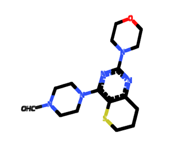 O=CN1CCN(c2nc(N3CCOCC3)nc3c2SCCC3)CC1